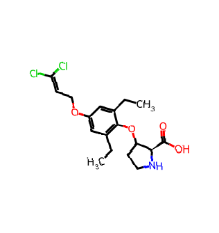 CCc1cc(OCC=C(Cl)Cl)cc(CC)c1OC1CCN[C@@H]1C(=O)O